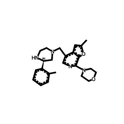 Cc1cc2c(CN3CCN[C@H](c4ccccc4C)C3)cnc(N3CCOCC3)c2o1